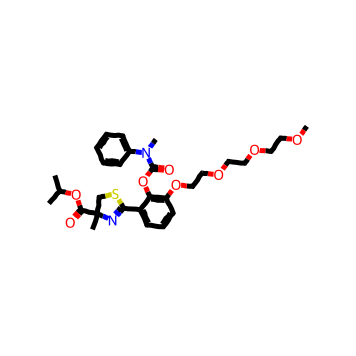 COCCOCCOCCOc1cccc(C2=NC(C)(C(=O)OC(C)C)CS2)c1OC(=O)N(C)c1ccccc1